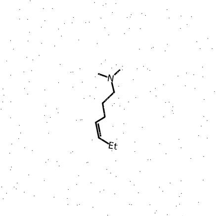 CC/C=C\CCCN(C)C